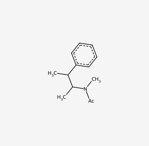 CC(=O)N(C)C(C)C(C)c1ccccc1